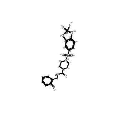 O=C(NCc1ccccc1F)C1CCN(S(=O)(=O)c2ccc3c(c2)OC(F)(F)O3)CC1